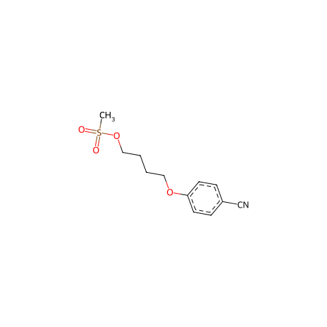 CS(=O)(=O)OCCCCOc1ccc(C#N)cc1